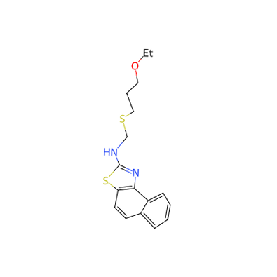 CCOCCCSCNc1nc2c(ccc3ccccc32)s1